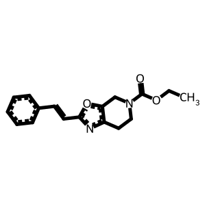 CCOC(=O)N1CCc2nc(C=Cc3ccccc3)oc2C1